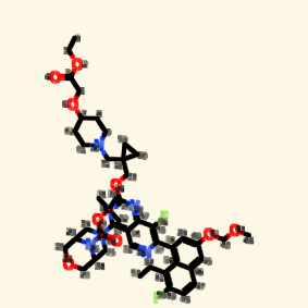 CCOC(=O)COC1CCN(CC2(COc3nc(N4CC5COCC(C4)N5C(=O)OC(C)(C)C)c4cnc(-c5cc(OCOC)cc6ccc(F)c(CC)c56)c(F)c4n3)CC2)CC1